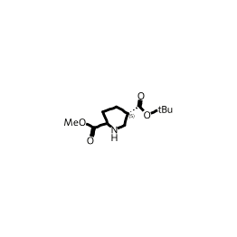 COC(=O)C1CC[C@H](C(=O)OC(C)(C)C)CN1